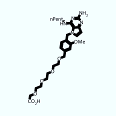 CCCCCNc1nc(N)nc2ccn(Cc3ccc(COCCOCCOCCOCC(=O)O)cc3OC)c12